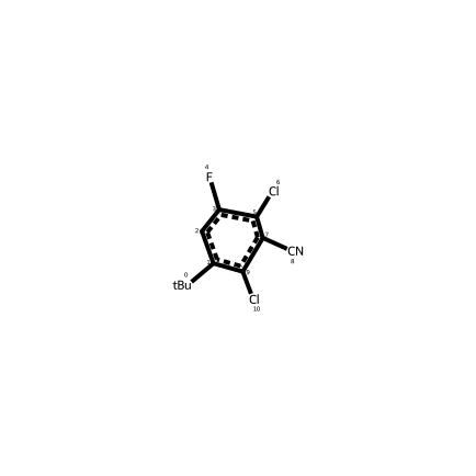 CC(C)(C)c1cc(F)c(Cl)c(C#N)c1Cl